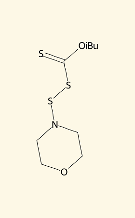 CC(C)COC(=S)SSN1CCOCC1